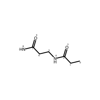 CCC(=O)NCCC([NH])=O